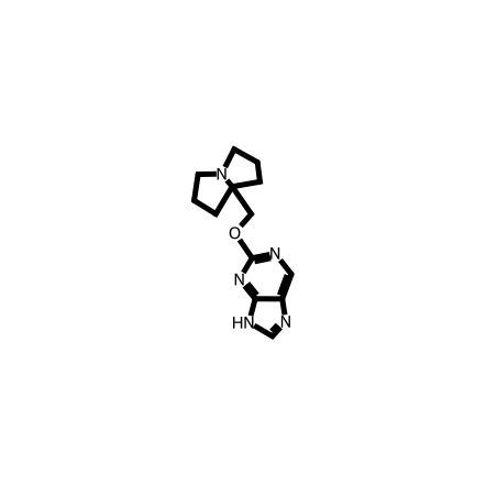 c1nc2cnc(OCC34CCCN3CCC4)nc2[nH]1